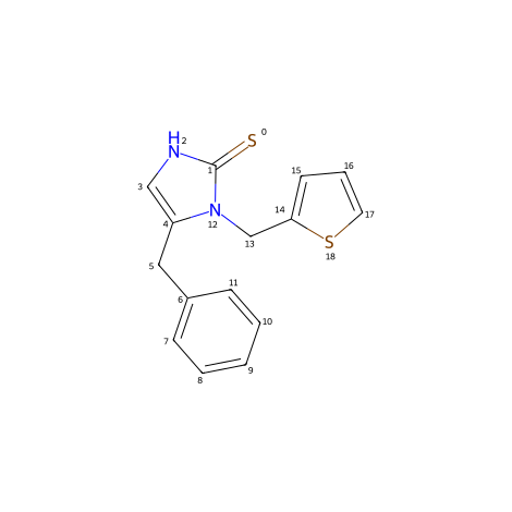 S=c1[nH]cc(Cc2ccccc2)n1Cc1cccs1